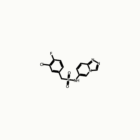 O=S(=O)(Cc1ccc(F)c(Cl)c1)Nc1ccc2nncn2c1